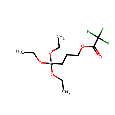 CCO[Si](CCCOC(=O)C(F)(F)F)(OCC)OCC